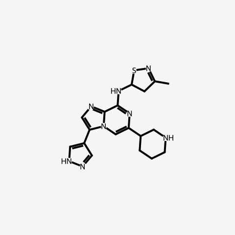 CC1=NSC(Nc2nc(C3CCCNC3)cn3c(-c4cn[nH]c4)cnc23)C1